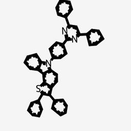 c1ccc(-c2cc(-c3ccccc3)nc(-c3ccc(-n4c5ccccc5c5c6sc(-c7ccccc7)c(-c7ccccc7)c6ccc54)cc3)n2)cc1